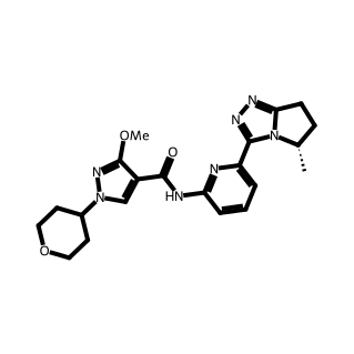 COc1nn(C2CCOCC2)cc1C(=O)Nc1cccc(-c2nnc3n2[C@@H](C)CC3)n1